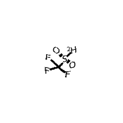 [2H]S(=O)(=O)C(F)(F)F